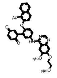 COCCOc1cc2ncnc(Nc3ccc(Oc4ccc5ccccc5c4C(C)=O)c(C4=CC(=O)C=CC4=O)c3)c2cc1OC